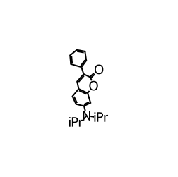 CC(C)N(c1ccc2cc(-c3ccccc3)c(=O)oc2c1)C(C)C